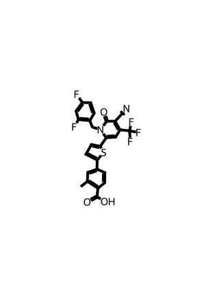 Cc1cc(-c2ccc(-c3cc(C(F)(F)F)c(C#N)c(=O)n3Cc3ccc(F)cc3F)s2)ccc1C(=O)O